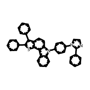 c1ccc(-c2sc3c(ccc4c3c3ccccc3n4-c3ccc(-n4ccnc4-c4ccccc4)cc3)c2-c2ccccc2)cc1